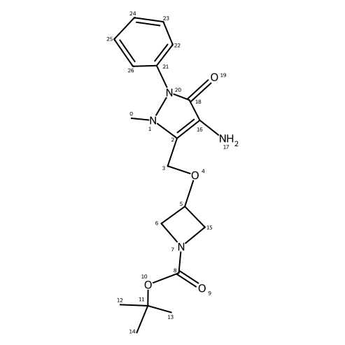 Cn1c(COC2CN(C(=O)OC(C)(C)C)C2)c(N)c(=O)n1-c1ccccc1